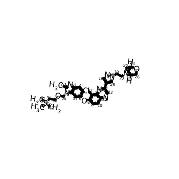 Cc1nc2ccc(Oc3ccc4ncc(-c5cnn(CCN6C[C@@H]7C[C@H]6CO7)c5)nc4c3Cl)cc2n1COCC[Si](C)(C)C